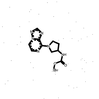 CC(C)(C)OC(=O)NC1CCN(c2nccn3ncnc23)C1